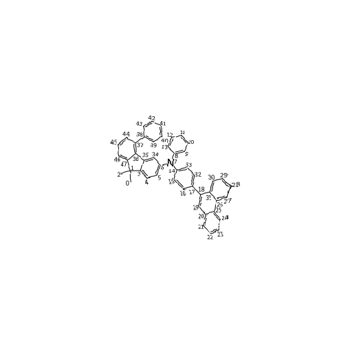 CC1(C)c2ccc(N(c3ccccc3)c3ccc(-c4cc5ccccc5c5ccccc45)cc3)cc2-c2c(-c3ccccc3)cccc21